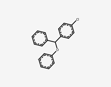 Clc1ccc(C(Oc2c[c]ccc2)c2ccccc2)cc1